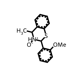 COc1ccccc1C1Sc2ccccc2C(C)[NH+]1[O-]